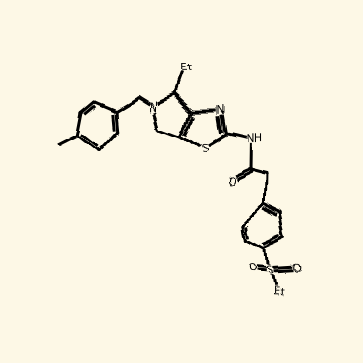 CCC1c2nc(NC(=O)Cc3ccc(S(=O)(=O)CC)cc3)sc2CN1Cc1ccc(C)cc1